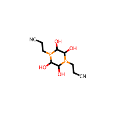 N#CCCP1C(O)C(O)P(CCC#N)C(O)C1O